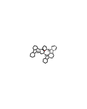 C1=CC2c3ccc4c5ccccc5n(-c5ccc6c7cccc8c9ccccc9n(c6c5)c87)c4c3N(c3ccccc3)C2C=C1